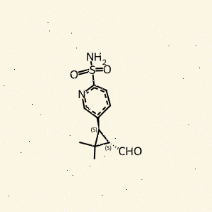 CC1(C)[C@@H](C=O)[C@@H]1c1ccc(S(N)(=O)=O)nc1